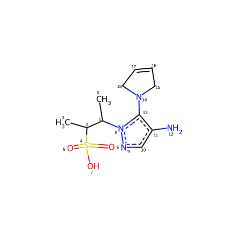 CC(C(C)S(=O)(=O)O)n1ncc(N)c1N1CC=CC1